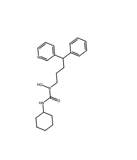 O=C(NC1CCCCC1)N(O)CCCC(c1ccccc1)c1cccnc1